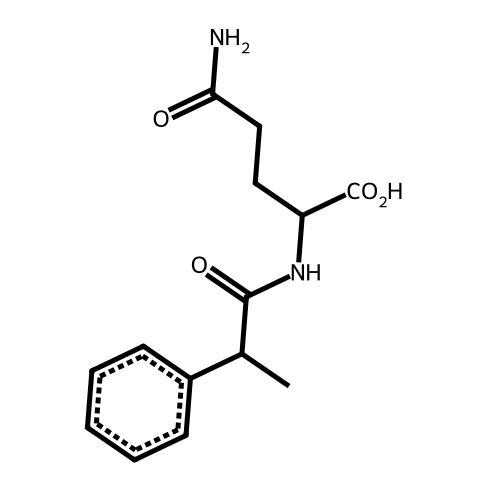 CC(C(=O)NC(CCC(N)=O)C(=O)O)c1ccccc1